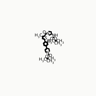 Cc1cc(-c2ccc(C3=CCN(C(=O)OC(C)(C)C)CC3)cc2Cl)sc1C(=O)N1CC[C@H](NC(=O)OC(C)(C)C)C1